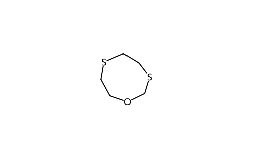 C1CSCCSCO1